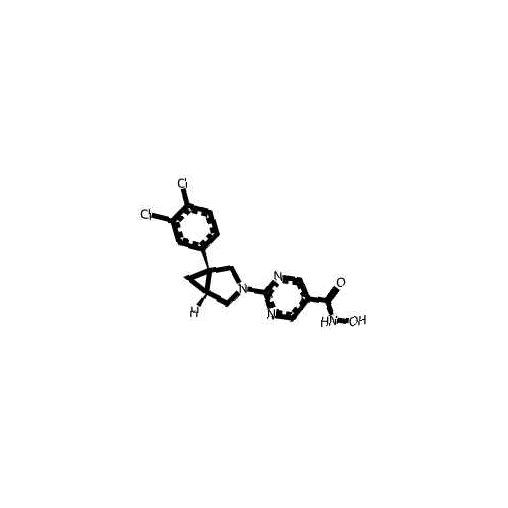 O=C(NO)c1cnc(N2C[C@@H]3C[C@]3(c3ccc(Cl)c(Cl)c3)C2)nc1